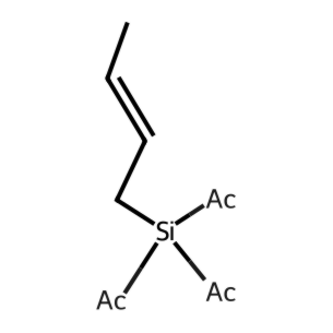 CC=CC[Si](C(C)=O)(C(C)=O)C(C)=O